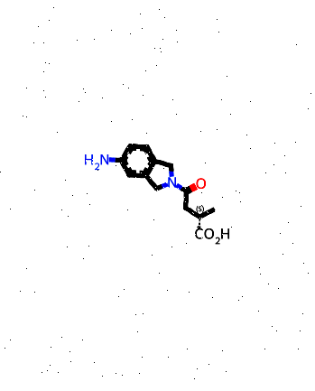 C[C@@H](CC(=O)N1Cc2ccc(N)cc2C1)C(=O)O